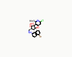 COc1nc(Cl)cc2c1[C@]1(O)[C@H](O)[C@H](CN)[C@@H](c3ccccc3)[C@]1(c1ccc(Br)cc1)O2